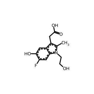 Cc1c(CC(=O)O)c2cc(O)c(F)cc2n1CCO